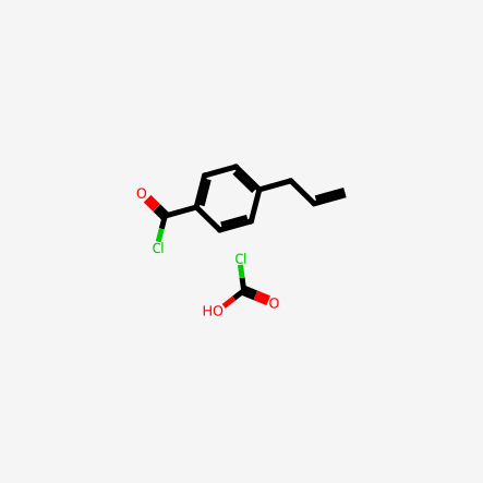 C=CCc1ccc(C(=O)Cl)cc1.O=C(O)Cl